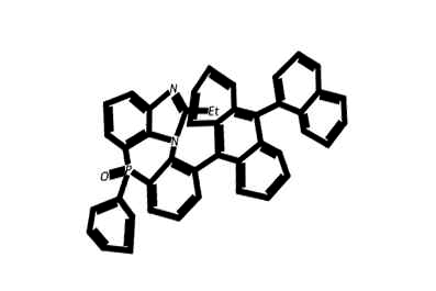 CCc1nc2cccc3c2n1-c1c(-c2c4ccccc4c(-c4cccc5ccccc45)c4ccccc24)cccc1P3(=O)c1ccccc1